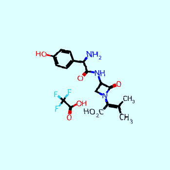 CC(C)=C(C(=O)O)N1CC(NC(=O)C(N)c2ccc(O)cc2)C1=O.O=C(O)C(F)(F)F